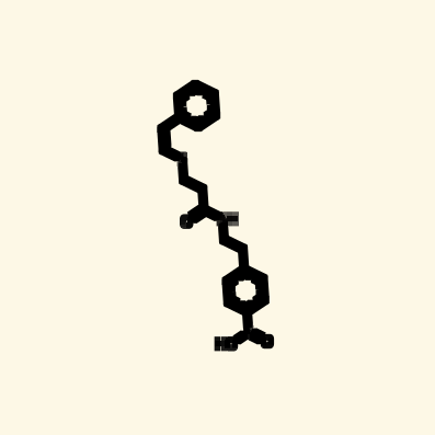 O=C(CCS/C=C\c1ccccc1)NCCc1ccc(S(=O)O)cc1